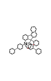 c1ccc(-c2ccc(N(c3ccc(-c4ccccc4)cc3)c3cccc4c3C(c3ccccc3)(c3ccccc3)c3ccc5ccccc5c3-4)cc2)cc1